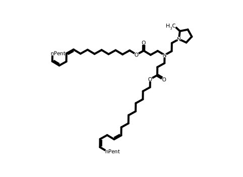 CCCCC/C=C\C/C=C\CCCCCCCCOC(=O)CCN(CCC(=O)OCCCCCCCC/C=C\C/C=C\CCCCC)CCN1CCCC1C